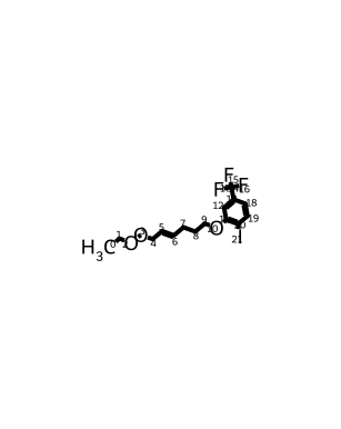 CCOOC/C=C/CCCOc1cc(C(F)(F)F)ccc1I